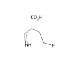 N=CC(CCF)C(=O)O